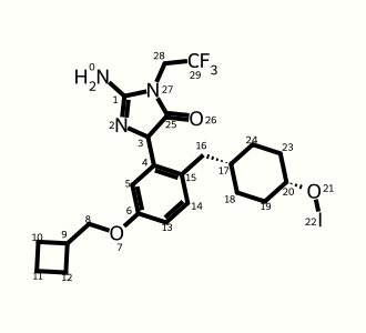 NC1=NC(c2cc(OCC3CCC3)ccc2C[C@H]2CC[C@@H](OI)CC2)C(=O)N1CC(F)(F)F